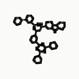 C1=C(c2cccc(-c3nc(-c4ccccc4)nc(-c4ccccc4)n3)c2)N=C(c2cccc(-c3ccccc3)c2)NC1c1ccc2c(c1)sc1ccccc12